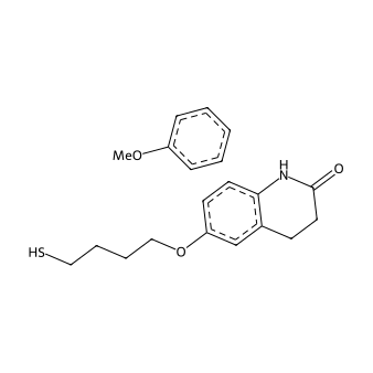 COc1ccccc1.O=C1CCc2cc(OCCCCS)ccc2N1